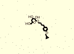 OCC1CC(O)C(O)C(OCCCCc2ccc(OCC3CC3)cc2)O1